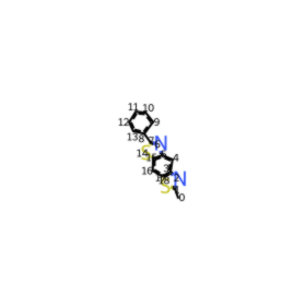 Cc1nc2cc3nc(-c4ccccc4)sc3cc2s1